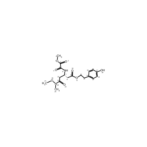 COC(=O)C(=O)N[C@H](CC(=O)OCCc1ccc(O)cc1)CC(=O)N(C)OC